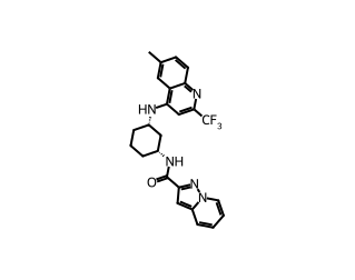 Cc1ccc2nc(C(F)(F)F)cc(N[C@H]3CCC[C@@H](NC(=O)c4cc5ccccn5n4)C3)c2c1